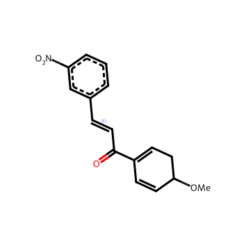 COC1C=CC(C(=O)/C=C/c2cccc([N+](=O)[O-])c2)=CC1